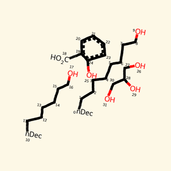 CCCCCCCCCCCCCCCCCCO.CCCCCCCCCCCCCCCCO.O=C(O)c1ccccc1O.OCC(O)CO